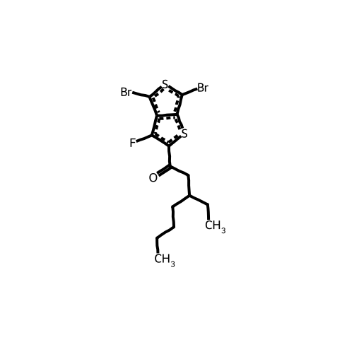 CCCCC(CC)CC(=O)c1sc2c(Br)sc(Br)c2c1F